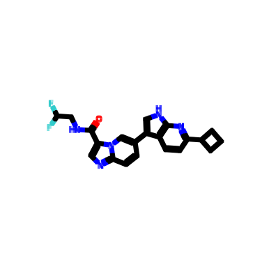 O=C(NCC(F)F)c1cnc2ccc(-c3c[nH]c4nc(C5CCC5)ccc34)cn12